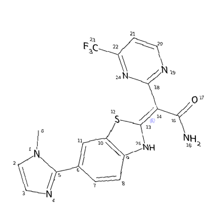 Cn1ccnc1-c1ccc2c(c1)S/C(=C(/C(N)=O)c1nccc(C(F)(F)F)n1)N2